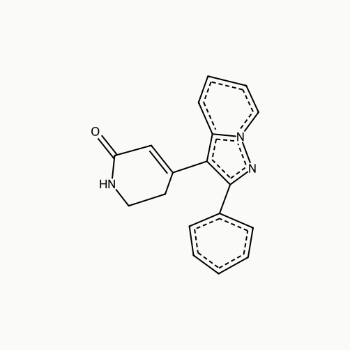 O=C1C=C(c2c(-c3ccccc3)nn3ccccc23)CCN1